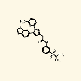 Cc1cccc(-n2nc(CC(=O)Nc3cccc(S(=O)(=O)N(C)C)c3)cc2-c2ccc3ncsc3c2)n1